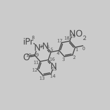 Cc1ccc(-c2nn(C(C)C)c(=O)c3cccnc23)cc1[N+](=O)[O-]